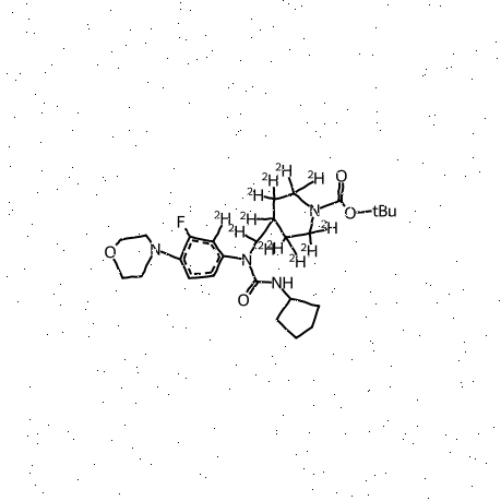 [2H]c1c(N(C(=O)NC2CCCC2)C([2H])([2H])C2([2H])C([2H])([2H])C([2H])([2H])N(C(=O)OC(C)(C)C)C([2H])([2H])C2([2H])[2H])ccc(N2CCOCC2)c1F